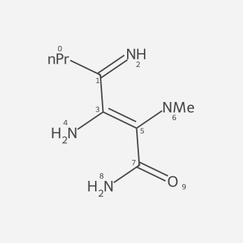 CCCC(=N)/C(N)=C(\NC)C(N)=O